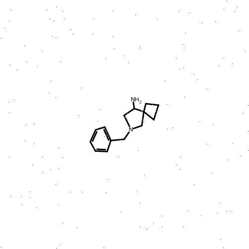 NC1CN(Cc2ccccc2)CC12CCC2